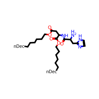 CCCCCCCCCCCCCCCCOC(=O)CC(NC(=O)C(N)Cc1ncc[nH]1)C(=O)OCCCCCCCCCCCCCCCC